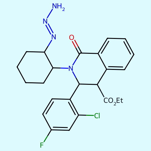 CCOC(=O)C1c2ccccc2C(=O)N(C2CCCCC2N=NN)C1c1ccc(F)cc1Cl